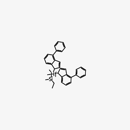 CC[Si](C)=[Hf]([CH3])([CH3])([CH]1C=Cc2c(-c3ccccc3)cccc21)[CH]1C=Cc2c(-c3ccccc3)cccc21